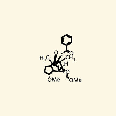 COCO[C@@H]1C[C@@](C)(SC(=O)c2ccccc2)C(=O)[C@H](C)C23CC[C@H]4C[C@]41C2[C@H](OC)CC3